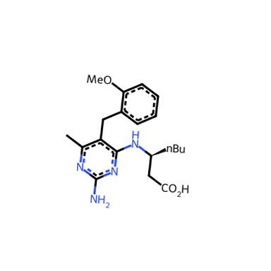 CCCC[C@@H](CC(=O)O)Nc1nc(N)nc(C)c1Cc1ccccc1OC